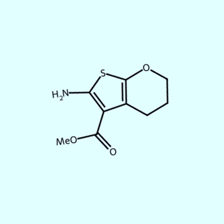 COC(=O)c1c(N)sc2c1CCCO2